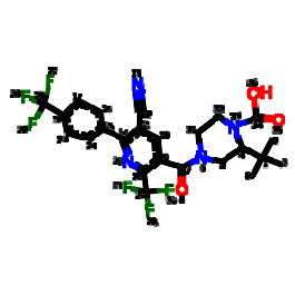 CC(C)(C)C1CN(C(=O)c2cc(C#N)c(-c3ccc(C(F)(F)F)cc3)nc2C(F)(F)F)CCN1C(=O)O